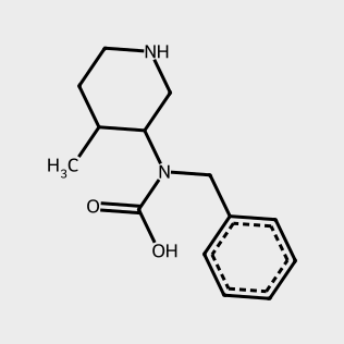 CC1CCNCC1N(Cc1ccccc1)C(=O)O